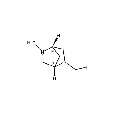 CN1C[C@@H]2C[C@H]1CN2CI